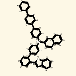 c1ccc(-c2ccc(-c3ccc(N(c4ccc(-c5ccccc5-c5cc6ccccc6o5)cc4)c4ccc5ccccc5c4)cc3)cc2)cc1